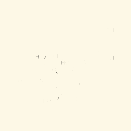 C=C[C@H]1[C@H](O[C@@H]2O[C@H](CO)[C@@H](O)C(O)C2OCOCc2c(O)cc(O)cc2-c2cccc(O)c2)OC=C2C(=O)CCC[C@H]21